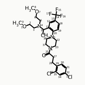 COCCN(CCOC)C(C)c1cc(C(F)(F)F)ccc1N1CCN(C(=O)CCc2ccc(Cl)cc2Cl)CC1